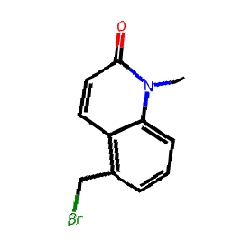 Cn1c(=O)ccc2c(CBr)cccc21